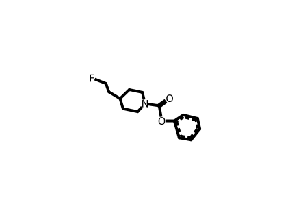 O=C(Oc1ccccc1)N1CCC(CCF)CC1